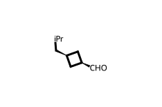 CC(C)C[C@H]1C[C@@H](C=O)C1